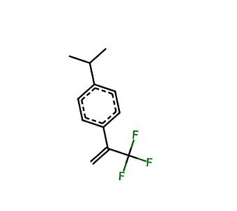 C=C(c1ccc(C(C)C)cc1)C(F)(F)F